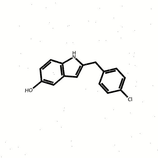 Oc1ccc2[nH]c(Cc3ccc(Cl)cc3)cc2c1